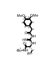 CC[C@H](C)NC(=O)[C@@H](CC(C)C)NC(=N)NC(=O)Cc1ccc(OC)c(OC)c1